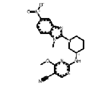 COc1nc(N[C@@H]2CCCN(c3nc4cc([N+](=O)[O-])ccc4n3C)C2)ncc1C#N